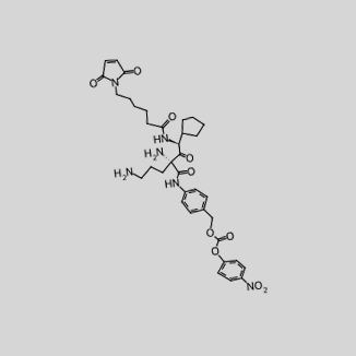 NCCC[C@](N)(C(=O)Nc1ccc(COC(=O)Oc2ccc([N+](=O)[O-])cc2)cc1)C(=O)[C@@H](NC(=O)CCCCCN1C(=O)C=CC1=O)C1CCCC1